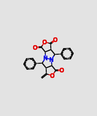 C=C1OC(=O)C2C1C(c1ccccc1)N1C3C(=O)OC(=O)C3C(c3ccccc3)N21